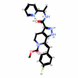 COC(=O)N1CCc2c(C(=O)NC(C)c3ccccn3)n[nH]c2/C1=C/c1ccc(F)cc1